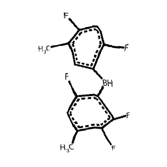 Cc1cc(Bc2c(F)cc(C)c(F)c2F)c(F)cc1F